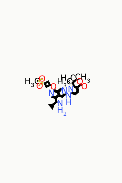 C[C@@H]1c2nc(Nc3cc4c([C@@H](N)C5CC5)cnc(O[C@H]5C[C@@H](S(C)(=O)=O)C5)c4cn3)ccc2C(=O)OC1(C)C